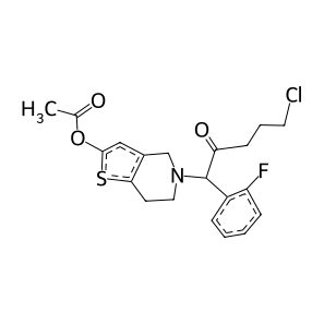 CC(=O)Oc1cc2c(s1)CCN(C(C(=O)CCCCl)c1ccccc1F)C2